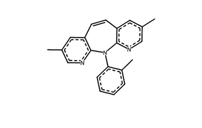 Cc1cnc2c(c1)C=Cc1cc(C)cnc1N2c1ccccc1C